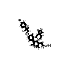 Cc1nc(C)c(-c2ccc(OCC(C)(C)c3ccc(F)cc3)cc2)c(N2CCC3(CCC3)CC2)c1CC(=O)O